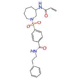 C=CC(=O)NC1CCCCN(S(=O)(=O)c2ccc(C(=O)NCCc3ccccc3)cc2)C1